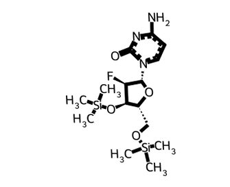 C[Si](C)(C)OC[C@H]1O[C@@H](n2ccc(N)nc2=O)[C@H](F)[C@@H]1O[Si](C)(C)C